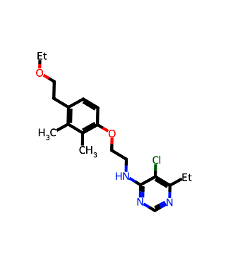 CCOCCc1ccc(OCCNc2ncnc(CC)c2Cl)c(C)c1C